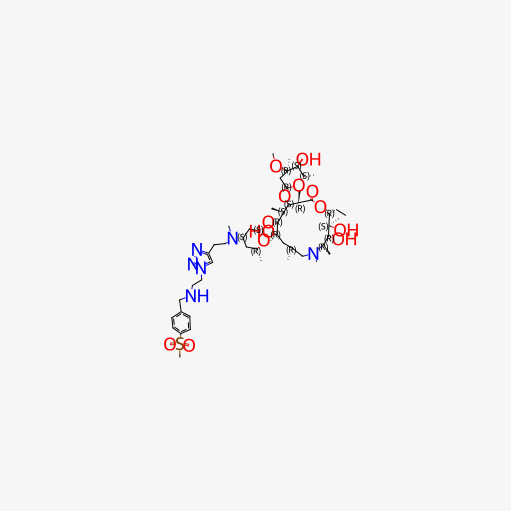 CC[C@H]1OC(=O)[C@H](C)[C@@H](O[C@H]2C[C@@](C)(OC)[C@@H](O)[C@H](C)O2)[C@H](C)[C@@H](O[C@H]2C[C@@H](N(C)CCc3cn(CCNCc4ccc(S(C)(=O)=O)cc4)nn3)C[C@@H](C)O2)[C@](C)(O)C[C@@H](C)CN(C)[C@H](C)[C@@H](O)[C@]1(C)O